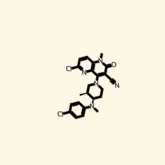 C[C@H]1CN(c2c(C#N)c(=O)n(C)c3ccc(Cl)nc23)CC[C@H]1N(C)c1ccc(Cl)cc1